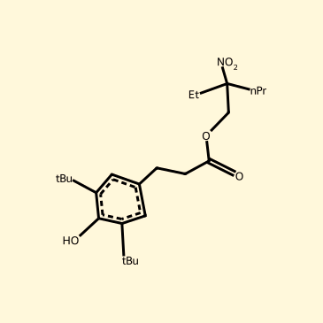 CCCC(CC)(COC(=O)CCc1cc(C(C)(C)C)c(O)c(C(C)(C)C)c1)[N+](=O)[O-]